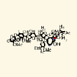 CCN(C(C)=O)C1COC(OC2C(O[C@H]3C#C/C=C\[C@]4(O)CC(=O)C(NC(=O)OC)=C3/C4=C\CSSC(C)(C)CC(C)=O)OC(C)C(NOC3CC(O)C(SC(=O)c4c(C)c(I)c(OC5OC6OC6C(OC)C5O)c(OC)c4OC)C(C)O3)C2O)CC1OC